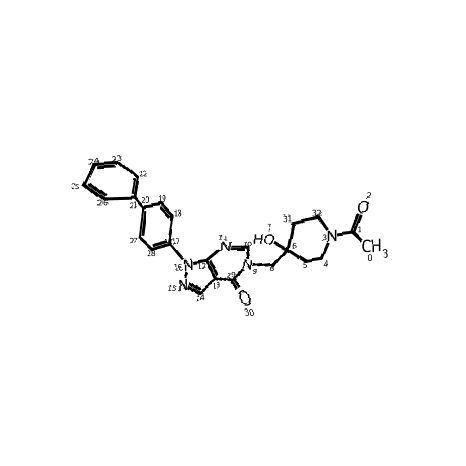 CC(=O)N1CCC(O)(Cn2cnc3c(cnn3-c3ccc(-c4ccccc4)cc3)c2=O)CC1